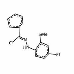 CCc1ccc(NN=C(Cl)c2ccccc2)c(SC)c1